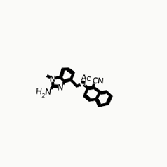 CC(=O)N(Cc1cccc2c1nc(N)n2C)c1ccc2ccccc2c1C#N